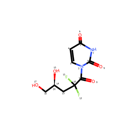 O=C(n1ccc(=O)[nH]c1=O)C(F)(F)C[C@H](O)CO